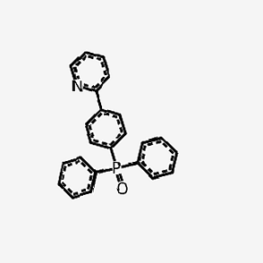 O=P(c1ccccc1)(c1ccccc1)c1ccc(-c2ccccn2)cc1